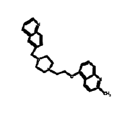 Cc1ccc2c(OCCN3CCN(Cc4ccc5ncccc5c4)CC3)cccc2n1